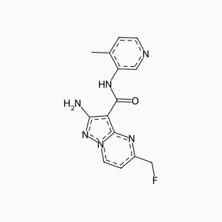 Cc1ccncc1NC(=O)c1c(N)nn2ccc(CF)nc12